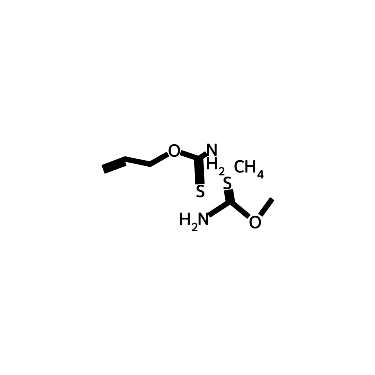 C.C=CCOC(N)=S.COC(N)=S